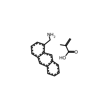 C=C(C)C(=O)O.NCc1cccc2cc3ccccc3cc12